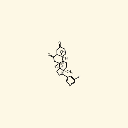 C[C@]12CCC(=O)CC1C(=O)C[C@@H]1[C@@H]2CC[C@]2(C)C(c3cncc(F)c3)=CC[C@@H]12